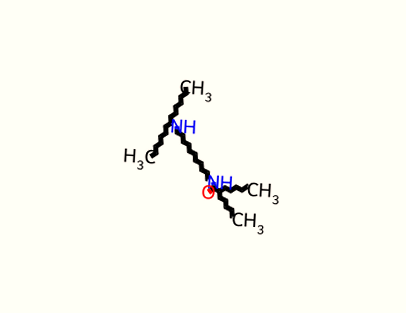 CCCCCCCC(CCCCCCC)NCCCCCCCCCCCNC(=O)C(CCCCCC)CCCCCC